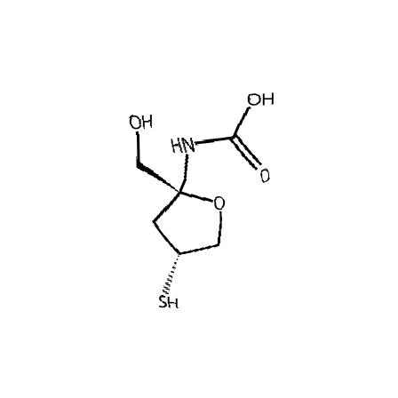 O=C(O)N[C@@]1(CO)C[C@@H](S)CO1